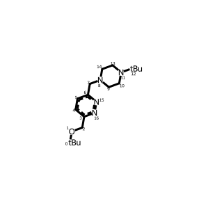 CC(C)(C)OCc1ccc(CN2CCN(C(C)(C)C)CC2)nn1